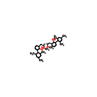 CO[C@@H](Cc1cccc(-c2c(C)cc(C)cc2C)c1O)C[C@H](Cc1cccc(-c2c(C)cc(C)cc2C)c1O)OC